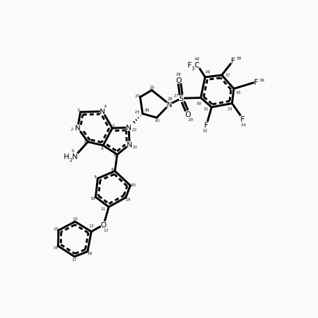 Nc1ncnc2c1c(-c1ccc(Oc3ccccc3)cc1)nn2[C@@H]1CCN(S(=O)(=O)c2c(F)c(F)c(F)c(F)c2C(F)(F)F)C1